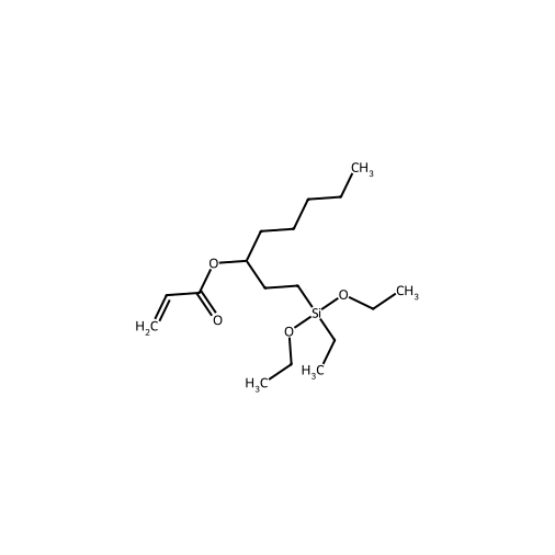 C=CC(=O)OC(CCCCC)CC[Si](CC)(OCC)OCC